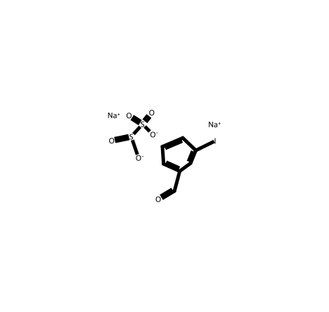 O=Cc1cccc(I)c1.O=S([O-])S(=O)(=O)[O-].[Na+].[Na+]